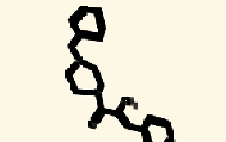 C/C(=C\c1ccccc1)C(=O)N1CCN(Cc2ccccc2)CC1